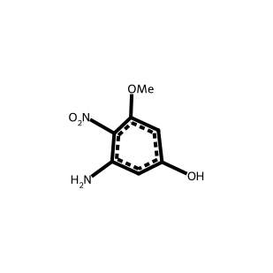 COc1cc(O)cc(N)c1[N+](=O)[O-]